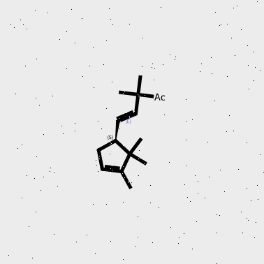 CC(=O)C(C)(C)/C=C/[C@@H]1CC=C(C)C1(C)C